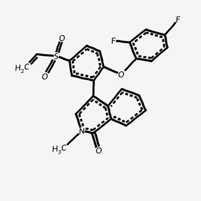 C=CS(=O)(=O)c1ccc(Oc2ccc(F)cc2F)c(-c2cn(C)c(=O)c3ccccc23)c1